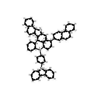 c1ccc(N(c2ccc(-c3ccc4c(ccc5ccccc54)c3)cc2)c2ccc(-n3c4ccccc4c4ccccc43)cc2)c(-c2cccc3oc4c5ccccc5ccc4c23)c1